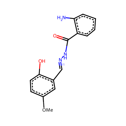 COc1ccc(O)c(/C=N/NC(=O)c2ccccc2N)c1